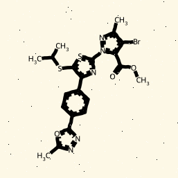 COC(=O)c1c(Br)c(C)nn1-c1nc(-c2ccc(-c3nnc(C)o3)cc2)c(SC(C)C)s1